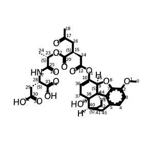 COc1ccc2c3c1O[C@@H]1C(OC(=O)C[C@H](CC(C)=O)C(=O)O[C@@H](C)C(=O)N[C@@H](CC(=O)O)C(=O)O)=CC[C@]4(O)[C@@H](CCC[C@@]314)C2